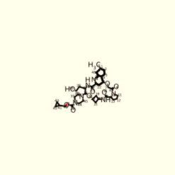 Cc1ccc2c(OCC(=O)N3CCCC3C(=O)NC3CCC3)cc(C(=O)NC(CCO)C(=O)N3CCN(C(=O)OCC4CC4)CC3)nc2c1